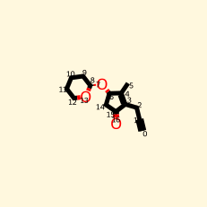 C#CCC1=C(C)C(O[C@H]2CCCCO2)CC1=O